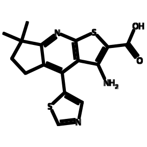 CC1(C)CCc2c1nc1sc(C(=O)O)c(N)c1c2-c1cncs1